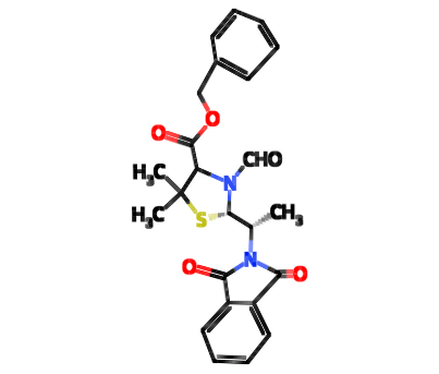 C[C@@H]([C@@H]1SC(C)(C)C(C(=O)OCc2ccccc2)N1C=O)N1C(=O)c2ccccc2C1=O